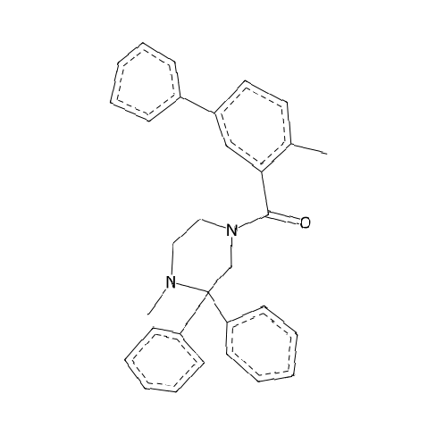 Cc1ccc(-c2ccccc2)cc1C(=O)N1CCN(C)C(c2ccccc2)(c2ccccc2)C1